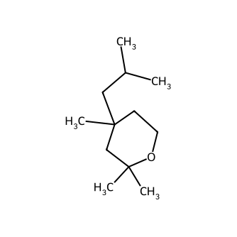 CC(C)CC1(C)CCOC(C)(C)C1